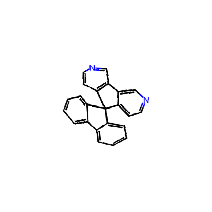 c1ccc2c(c1)-c1ccccc1C21c2ccncc2-c2cnccc21